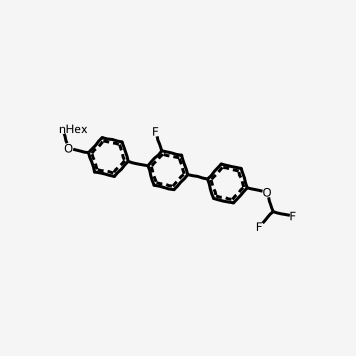 CCCCCCOc1ccc(-c2ccc(-c3ccc(OC(F)F)cc3)cc2F)cc1